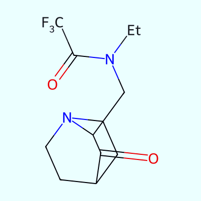 CCN(CC1C(=O)C2CCN1CC2)C(=O)C(F)(F)F